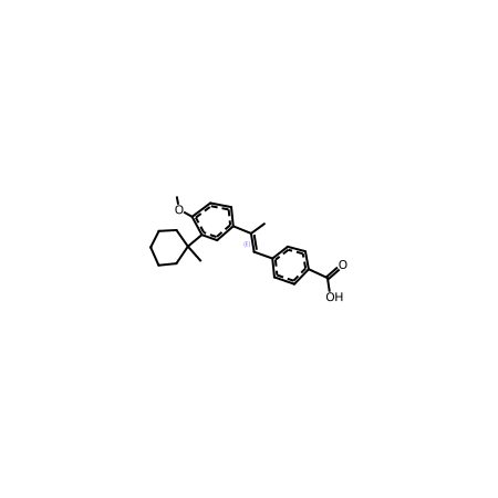 COc1ccc(/C(C)=C/c2ccc(C(=O)O)cc2)cc1C1(C)CCCCC1